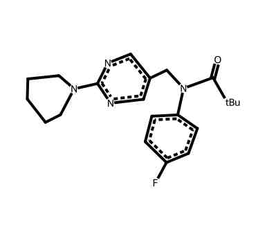 CC(C)(C)C(=O)N(Cc1cnc(N2CCCCC2)nc1)c1ccc(F)cc1